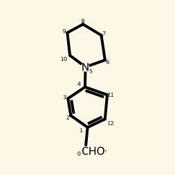 O=[C]c1ccc(N2CCCCC2)cc1